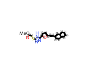 COC(=O)CSc1nnc(-c2ccc(C#Cc3ccc4ccccc4c3)o2)[nH]1